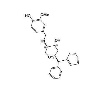 COc1cc(CN[C@@H]2CO[C@H](C(c3ccccc3)c3ccccc3)C[C@H]2O)ccc1O